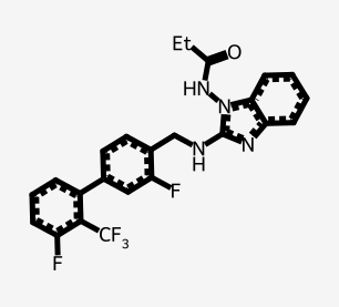 CCC(=O)Nn1c(NCc2ccc(-c3cccc(F)c3C(F)(F)F)cc2F)nc2ccccc21